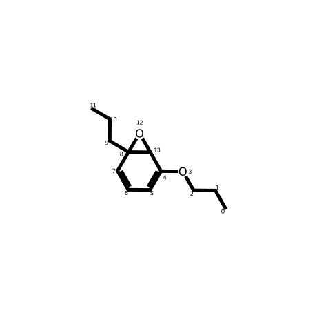 CCCOC1=CC=CC2(CCC)OC12